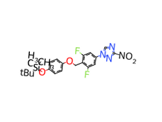 CC(C)(C)[Si](C)(C)Oc1ccc(OCc2c(F)cc(-n3cnc([N+](=O)[O-])n3)cc2F)cc1